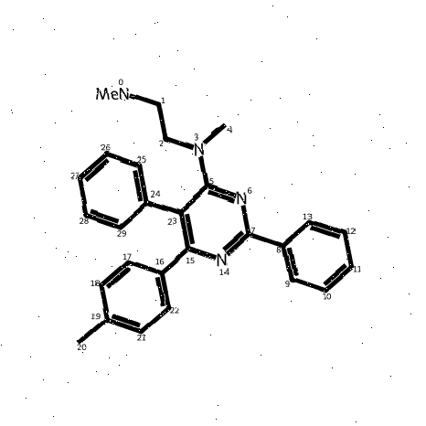 CNCCN(C)c1nc(-c2ccccc2)nc(-c2ccc(C)cc2)c1-c1ccccc1